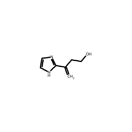 C=C(CCO)c1ncc[nH]1